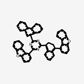 c1ccc2c(c1)=C(c1nc(-c3cc4ccccc4c4ccccc34)nc(-c3cccc4oc5ccccc5c34)n1)CCC=2c1cccc2oc3ccccc3c12